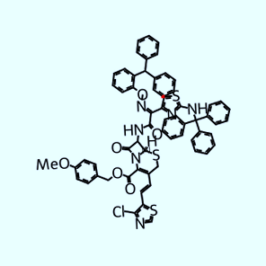 COc1ccc(COC(=O)C2=C(C=Cc3scnc3Cl)CS[C@H]3C(NC(=O)C(=NOc4ccccc4C(c4ccccc4)c4ccccc4)c4csc(NC(c5ccccc5)(c5ccccc5)c5ccccc5)n4)C(=O)N23)cc1